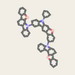 c1ccc(-n2c3ccc(-n4c5ccccc5c5ccc6c7ccccc7oc6c54)cc3c3cc4c(cc32)oc2ccc(-n3c5ccccc5c5c6oc7ccccc7c6ccc53)cc24)cc1